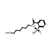 CCCCCCCCCCCCCCCCOC(=O)c1ccccc1S([NH])(=O)=O